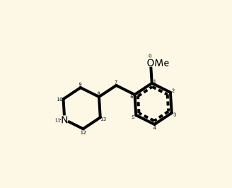 COc1ccccc1CC1CC[N]CC1